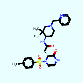 Cc1ccc(S(=O)(=O)N2C=CNC(=O)[C@H]2CC(=O)N[C@@H]2CCN(Cc3ccccn3)CC2(C)C)cc1